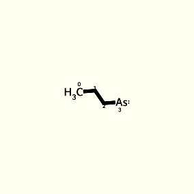 CCC[As]